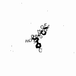 O=C(Nc1cc(-c2ccc(Cl)cc2)sc1C(=O)O)N[C@@H]1CCCN(C(=O)C(F)(F)F)C1